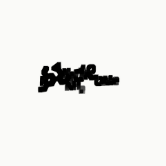 C=Cc1cc(-c2cc(N)c(N3CCN(C(=O)CCOC)[C@H](C)C3)nc2C2CC2)cc(C=C)n1